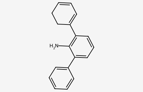 Nc1c(C2=CC=CCC2)cccc1-c1ccccc1